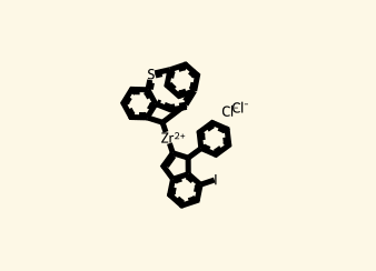 Ic1cccc2c1C(c1ccccc1)[C]([Zr+2][CH]1c3cc4c1cccc4sc1ccc3cc1)=C2.[Cl-].[Cl-]